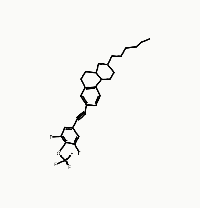 CCCCCCC1CCC2c3ccc(C#Cc4cc(F)c(OC(F)(F)F)c(F)c4)cc3CCC2C1